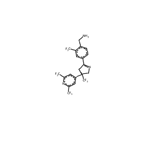 NCc1ccc(C2=NCC(c3cc(C(F)(F)F)nc(C(F)(F)F)c3)(C(F)(F)F)C2)cc1C(F)(F)F